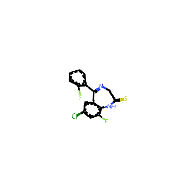 Fc1ccccc1C1=NCC(=S)Nc2c(F)cc(Cl)cc21